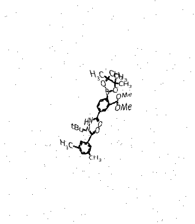 COC(OC)c1cc(C(=O)NN(C(=O)c2cc(C)cc(C)c2)C(C)(C)C)ccc1B1OC(C)(C)C(C)(C)O1